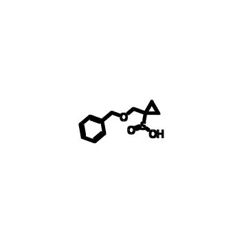 O=S(O)C1(COCc2ccccc2)CC1